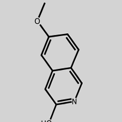 COc1ccc2cnc(O)cc2c1